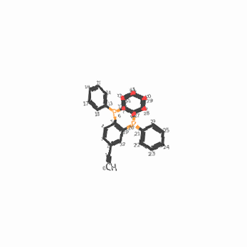 C#Cc1ccc(P(c2ccccc2)c2ccccc2)c(P(c2ccccc2)c2ccccc2)c1